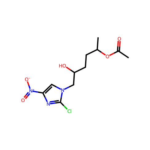 CC(=O)OC(C)CCC(O)Cn1cc([N+](=O)[O-])nc1Cl